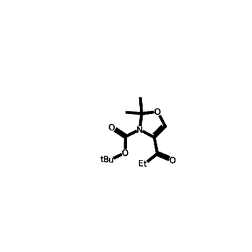 CCC(=O)C1=COC(C)(C)N1C(=O)OC(C)(C)C